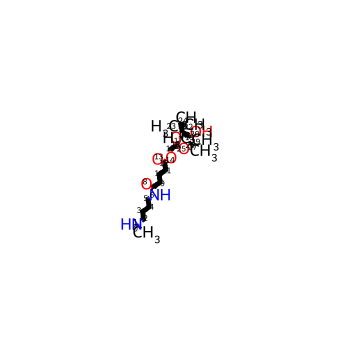 CNCCCCNC(=O)CCCC(=O)OCC(OC(CO)C(C)(C)C)OC(C)(C)C